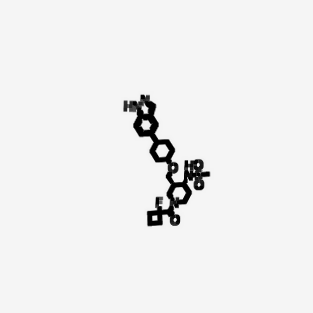 CS(=O)(=O)N[C@H]1CCN(C(=O)C2(F)CCC2)C[C@H]1COC1CCC(c2ccc3[nH]ncc3c2)CC1